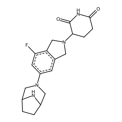 O=C1CCC(N2Cc3cc(N4CC5CCC(C4)N5)cc(F)c3C2)C(=O)N1